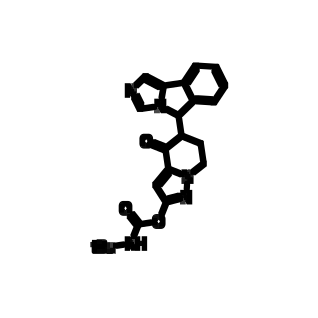 CC(C)(C)NC(=O)Oc1cc2n(n1)CCC(C1c3ccccc3-c3cncn31)C2=O